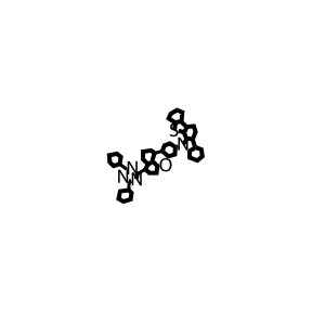 c1ccc(-c2nc(-c3ccccc3)nc(-c3ccc4c5c(cccc35)-c3ccc(-n5c6ccccc6c6ccc7c8ccccc8sc7c65)cc3O4)n2)cc1